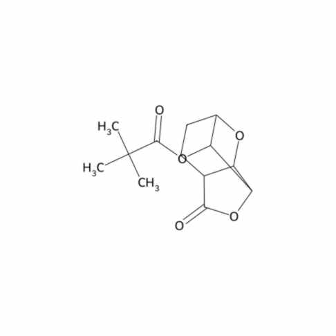 CC(C)(C)C(=O)OC1C2CCC3C(=O)OC1C3O2